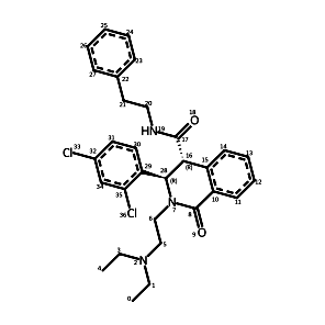 CCN(CC)CCN1C(=O)c2ccccc2[C@@H](C(=O)NCCc2ccccc2)[C@@H]1c1ccc(Cl)cc1Cl